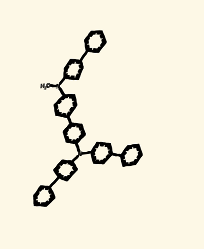 CN(c1ccc(-c2ccccc2)cc1)c1ccc(-c2ccc(N(c3ccc(-c4ccccc4)cc3)c3ccc(-c4ccccc4)cc3)cc2)cc1